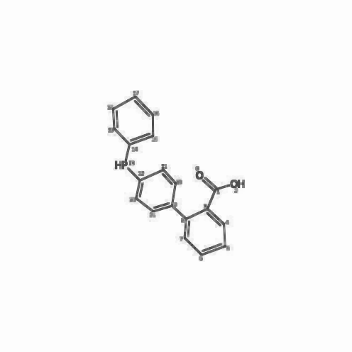 O=C(O)c1ccccc1-c1ccc(Pc2ccccc2)cc1